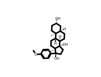 COc1ccc([C@@]2(O)CC[C@]3(O)[C@@H]4CC[C@@H]5C[C@@H](O)CC[C@]5(C)[C@H]4CC[C@]23C)cc1